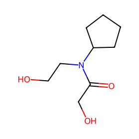 O=C(CO)N(CCO)C1CCCC1